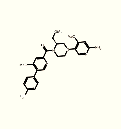 COC[C@H]1CN(c2cnc(N)cc2OC)CCN1C(=O)c1cc(OC)c(-c2ccc(C(F)(F)F)cc2)cn1